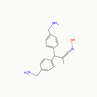 CC(=C=NO)C(c1ccc(CN)cc1)c1ccc(CN)cc1